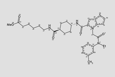 CCN(C(=O)Cn1c(C(=O)N[C@H]2CC[C@H](C(=O)NCCCCCC(=O)OC)CC2)cc2sccc21)c1cccc(C)c1